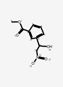 COC(=O)c1cccc(C(O)C[N+](=O)[O-])c1